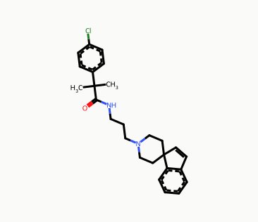 CC(C)(C(=O)NCCCN1CCC2(C=Cc3ccccc32)CC1)c1ccc(Cl)cc1